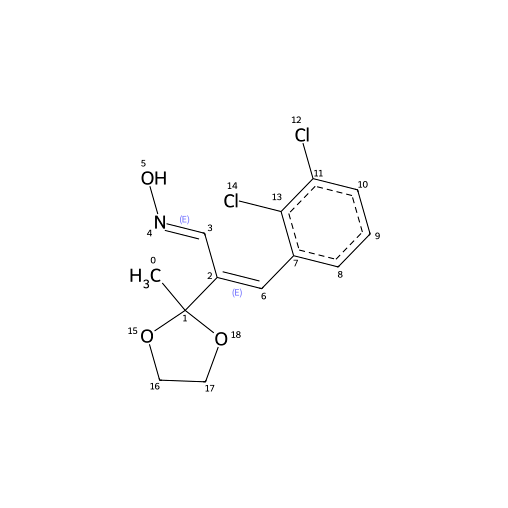 CC1(C(/C=N/O)=C/c2cccc(Cl)c2Cl)OCCO1